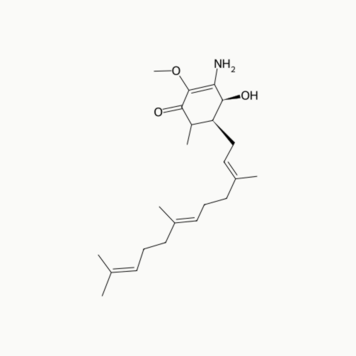 COC1=C(N)[C@@H](O)[C@@H](C/C=C(\C)CC/C=C(\C)CCC=C(C)C)C(C)C1=O